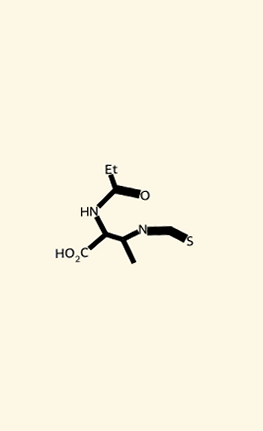 CCC(=O)NC(C(=O)O)C(C)N=C=S